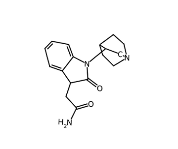 NC(=O)CC1C(=O)N(C2CN3CCC2CC3)c2ccccc21